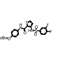 CCCCOc1ccc(NC(=O)c2sccc2NS(=O)(=O)c2ccc(F)c(F)c2)cc1